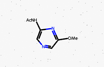 COc1cncc(NC(C)=O)n1